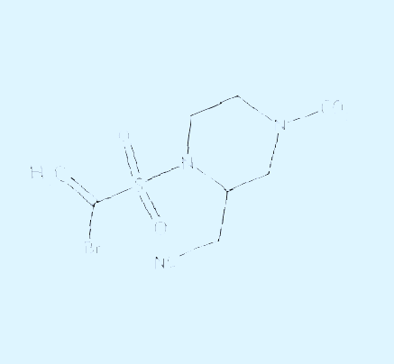 C=C(Br)S(=O)(=O)N1CCN(C(=O)O)CC1CC#N